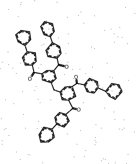 O=C(c1ccc(-c2ccccc2)cc1)c1cc(Cc2cc(C(=O)c3ccc(-c4ccccc4)cc3)cc(C(=O)c3ccc(-c4ccccc4)cc3)c2)cc(C(=O)c2ccc(-c3ccccc3)cc2)c1